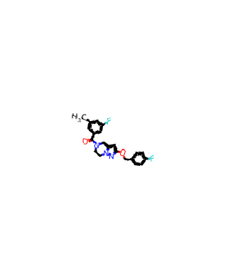 Cc1cc(F)cc(C(=O)N2CCn3nc(OCc4ccc(F)cc4)cc3C2)c1